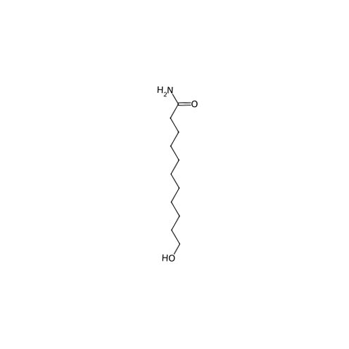 NC(=O)CCCCCCCCCCO